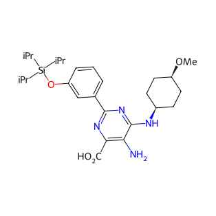 CO[C@H]1CC[C@@H](Nc2nc(-c3cccc(O[Si](C(C)C)(C(C)C)C(C)C)c3)nc(C(=O)O)c2N)CC1